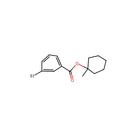 CCc1cccc(C(=O)OC2(C)CCCCC2)c1